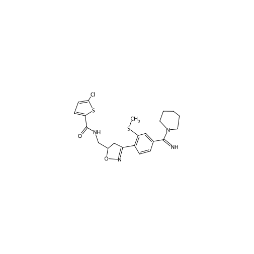 CSc1cc(C(=N)N2CCCCC2)ccc1C1=NOC(CNC(=O)c2ccc(Cl)s2)C1